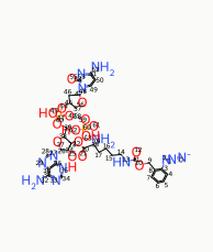 [N-]=[N+]=Nc1ccccc1COC(=O)NCCCC[C@@H](N)C(=O)O[C@H]1[C@@H](O)[C@H](n2cnc3c(N)ncnc32)O[C@H]1COP(=O)(O)O[C@H]1C[C@H](n2ccc(N)nc2=O)O[C@@H]1COP(=O)(O)O